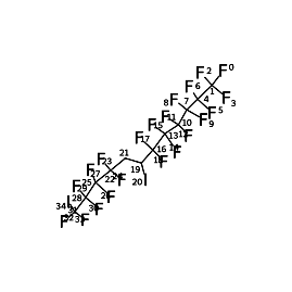 FC(F)(F)C(F)(F)C(F)(F)C(F)(F)C(F)(F)C(F)(F)C(I)CC(F)(F)C(F)(F)C(F)(F)C(F)(F)I